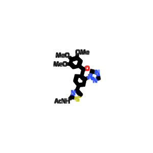 COc1cc(C(=O)c2ccc(-c3csc(NC(C)=O)n3)cc2-n2cncn2)cc(OC)c1OC